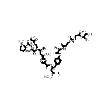 CCC(CO)OC(COC(=O)NCCC(=O)N[C@@H](C(=O)Oc1ccc(C[C@@H](C[C@H](C)C(=O)O)NC(=O)c2csc([C@@H](C[C@H](C(C)C)N(COC(=O)CC(C)C)C(=O)[C@@H](NC(=O)[C@H]3CCCCN3C)[C@@H](C)CC)OC(C)=O)n2)cc1)C(C)C)OC